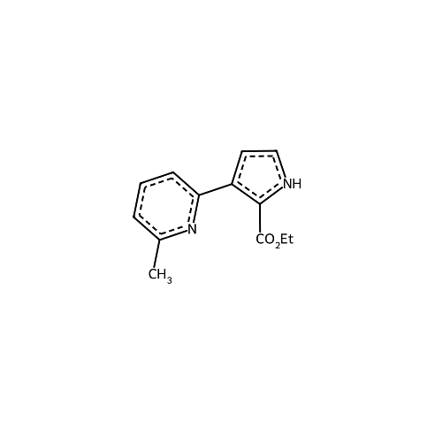 CCOC(=O)c1[nH]ccc1-c1cccc(C)n1